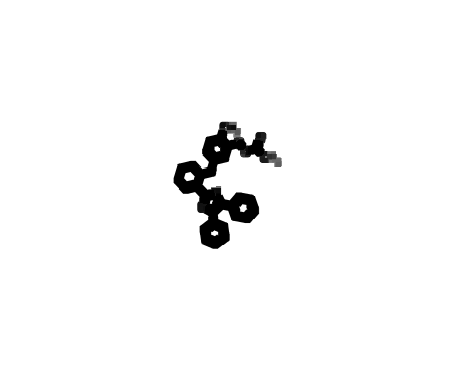 CC(=O)OOc1cc(CC2CCCC=C2c2nc(-c3ccccc3)c(-c3ccccc3)o2)ccc1C